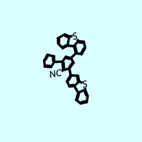 N#Cc1c(-c2ccccc2)cc(-c2cccc3sc4ccccc4c23)cc1-c1ccc2c(c1)sc1ccccc12